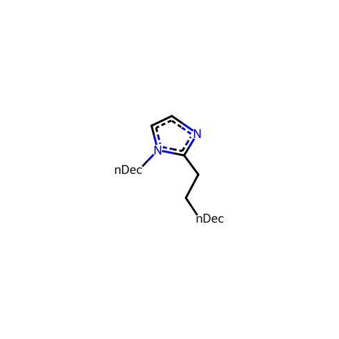 CCCCCCCCCCCCc1nccn1CCCCCCCCCC